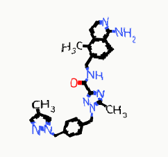 Cc1cnn(Cc2ccc(Cn3nc(C(=O)NCc4ccc5c(N)nccc5c4C)nc3C)cc2)c1